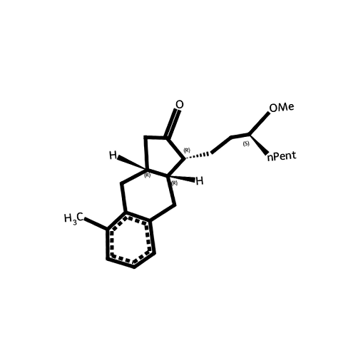 CCCCC[C@@H](CC[C@H]1C(=O)C[C@H]2Cc3c(C)cccc3C[C@H]21)OC